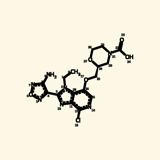 CCn1c(-c2nonc2N)nc2c(Cl)ncc(OC[C@@H]3CN(C(=O)O)CCO3)c21